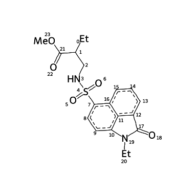 CCC(CNS(=O)(=O)c1ccc2c3c(cccc13)C(=O)N2CC)C(=O)OC